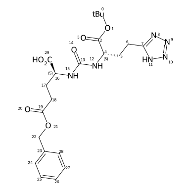 CC(C)(C)OC(=O)[C@H](CCc1nnn[nH]1)NC(=O)N[C@@H](CCC(=O)OCc1ccccc1)C(=O)O